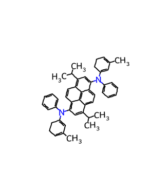 CC1=CCCC(N(c2ccccc2)c2cc(C(C)C)c3ccc4c(N(C5=CC(C)=CCC5)c5ccccc5)cc(C(C)C)c5ccc2c3c54)=C1